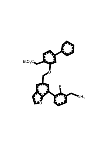 CCOC(=O)Cc1ccc(-c2ccccc2)cc1OCc1cc(-c2cccc(CN)c2F)c2occc2c1